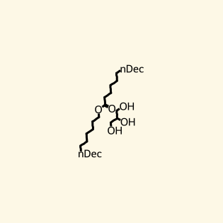 CCCCCCCCCCCCCCCCOC(=O)CCCCCCCCCCCCCCC.OCC(O)CO